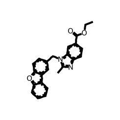 CCOC(=O)c1ccc2nc(C)n(Cc3ccc4oc5ccccc5c4c3)c2c1